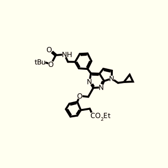 CCOC(=O)Cc1ccccc1OCc1nc(-c2cccc(CNC(=O)OC(C)(C)C)c2)c2ccn(CC3CC3)c2n1